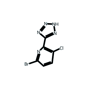 Clc1ccc(Br)nc1-c1nn[nH]n1